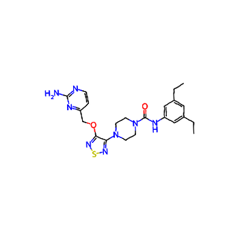 CCc1cc(CC)cc(NC(=O)N2CCN(c3nsnc3OCc3ccnc(N)n3)CC2)c1